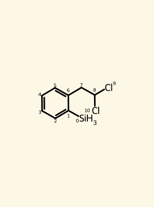 [SiH3]c1ccccc1CC(Cl)Cl